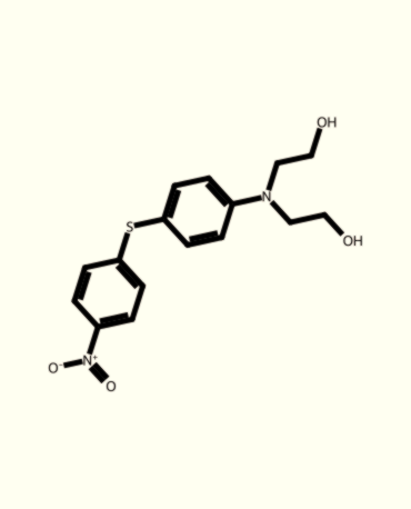 O=[N+]([O-])c1ccc(Sc2ccc(N(CCO)CCO)cc2)cc1